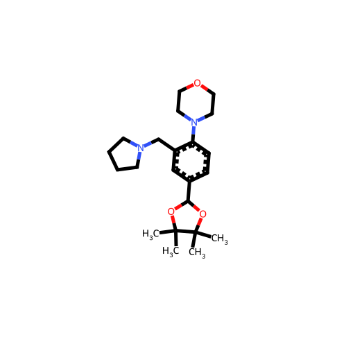 CC1(C)OC(c2ccc(N3CCOCC3)c(CN3CCCC3)c2)OC1(C)C